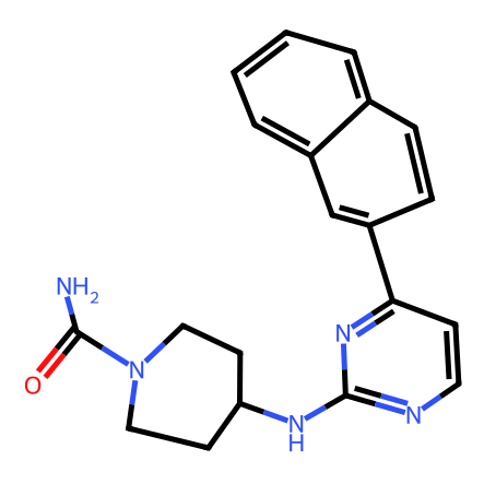 NC(=O)N1CCC(Nc2nccc(-c3ccc4ccccc4c3)n2)CC1